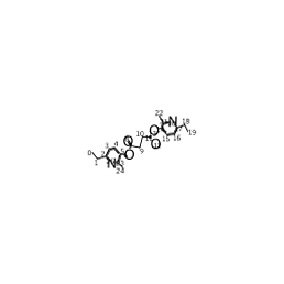 CCc1ccc(OC(=O)CCC(=O)Oc2ccc(CC)nc2C)c(C)n1